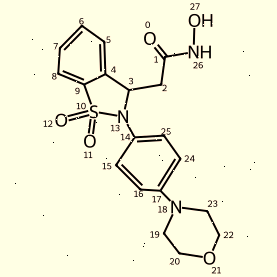 O=C(CC1c2ccccc2S(=O)(=O)N1c1ccc(N2CCOCC2)cc1)NO